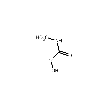 O=C(O)NC(=O)OO